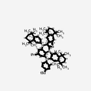 Cc1cc(C(C)(C)C)ccc1N1c2cc3c(cc2B2c4sc5cc6c(cc5c4N(c4ccc5c(c4)C(C)(C)CCC5(C)C)c4cc(C(C)C)cc1c42)C(C)(C)CCC6(C)C)C(C)(C)CCC3(C)C